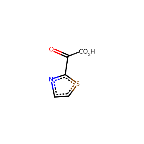 O=C(O)C(=O)c1nccs1